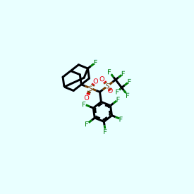 O=S(=O)(C(c1c(F)c(F)c(F)c(F)c1F)S(=O)(=O)C(F)(F)C(F)(F)F)C12CC3CC(CC(F)(C3)C1)C2